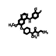 CCNC(=O)N(C)[C@H]1CC[C@@H](Oc2cc3c(Nc4ccc(F)c(Cl)c4)ncnc3cc2OC)CC1